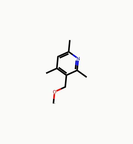 [CH2]OCc1c(C)cc(C)nc1C